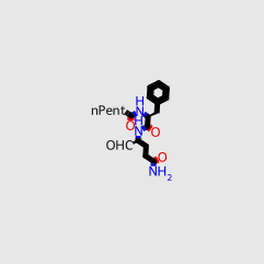 CCCCCC(=O)N[C@@H](Cc1ccccc1)C(=O)N[C@H](C=O)CCC(N)=O